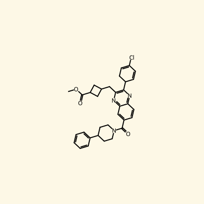 COC(=O)C1CC(Cc2nc3cc(C(=O)N4CCC(c5ccccc5)CC4)ccc3nc2C2C=CC(Cl)=CC2)C1